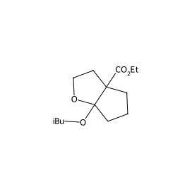 CCOC(=O)C12CCCC1(OC(C)CC)OCC2